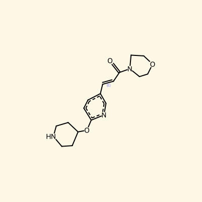 O=C(/C=C/c1ccc(OC2CCNCC2)nc1)N1CCOCC1